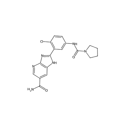 NC(=O)c1cnc2nc(-c3cc(NC(=O)N4CCCC4)ccc3Cl)[nH]c2c1